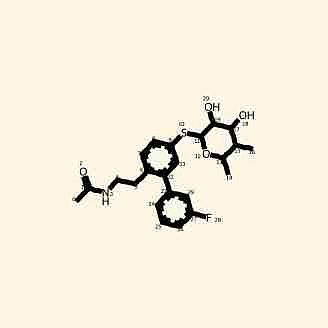 CC(=O)NCCc1ccc(SC2OC(C)C(C)C(O)C2O)cc1-c1cccc(F)c1